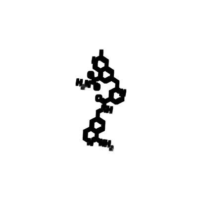 Cc1cc2cc(Cc3cc(C(=O)NCc4ccc5c(N)nccc5c4)ccn3)cc(S(N)(=O)=O)c2cn1